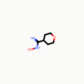 N=C(NO)C1CCOCC1